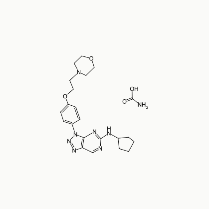 NC(=O)O.c1cc(-n2nnc3cnc(NC4CCCC4)nc32)ccc1OCCN1CCOCC1